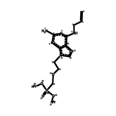 C=CCNc1nc(N)nc2c1ncn2CCOCP(=O)(OCCC)OCCC